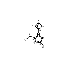 CCc1nc(I)cn1C12CC(C1)C2